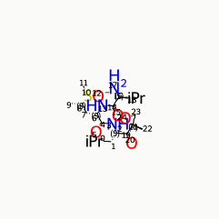 CC(C)C[C@H](NC(=O)[C@H](C[C@H](C)[S+](C)[O-])NC(=O)[C@@H](N)C(C)C)C(=O)[C@@]1(C)CO1